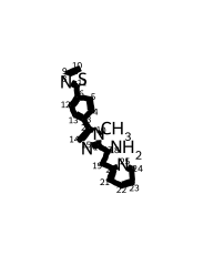 Cn1c(-c2ccc(-c3nccs3)cc2)cnc1[C@@H](N)Cc1ccccn1